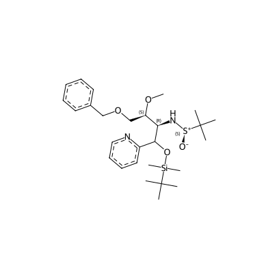 CO[C@H](COCc1ccccc1)[C@@H](N[S@+]([O-])C(C)(C)C)C(O[Si](C)(C)C(C)(C)C)c1ccccn1